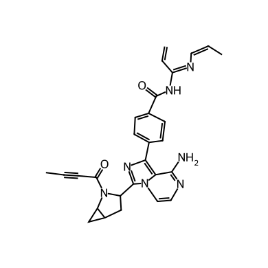 C=C/C(=N\C=C/C)NC(=O)c1ccc(-c2nc(C3CC4CC4N3C(=O)C#CC)n3ccnc(N)c23)cc1